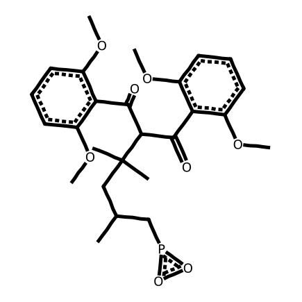 COc1cccc(OC)c1C(=O)C(C(=O)c1c(OC)cccc1OC)C(C)(C)CC(C)Cp1oo1